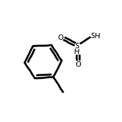 Cc1ccccc1.O=[SH](=O)S